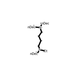 CCCCCCCCCCN(CC)CCCCN(CCCCCCCCCC)CCCCCCCCCC